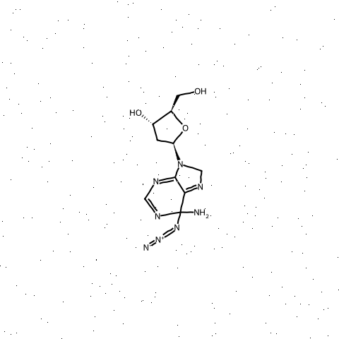 [N-]=[N+]=NC1(N)N=CN=C2C1=NCN2[C@H]1C[C@H](O)[C@@H](CO)O1